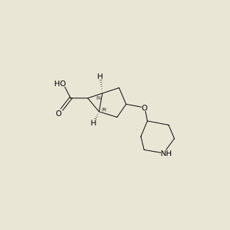 O=C(O)C1[C@H]2CC(OC3CCNCC3)C[C@@H]12